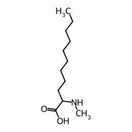 CCCCCCCCCC(NC)C(=O)O